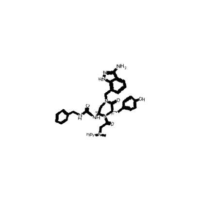 CCCN(C)CC(=O)N1[C@@H](NC(=O)NCc2ccccc2)CN(Cc2cccc3c(N)n[nH]c23)C(=O)[C@@H]1Cc1ccc(O)cc1